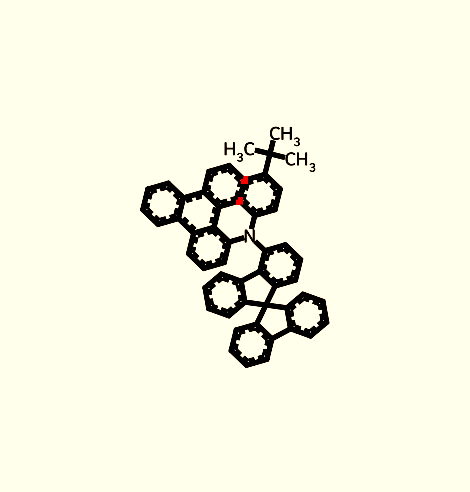 CC(C)(C)c1ccc(N(c2cccc3c2-c2ccccc2C32c3ccccc3-c3ccccc32)c2cccc3c4ccccc4c4ccccc4c23)cc1